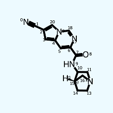 N#Cc1cc2cc(C(=O)NC3CN4CC[C@H]3C4)ncn2c1